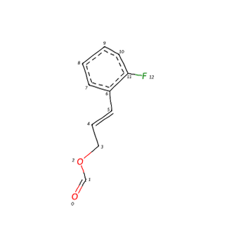 O=[C]OCC=Cc1ccccc1F